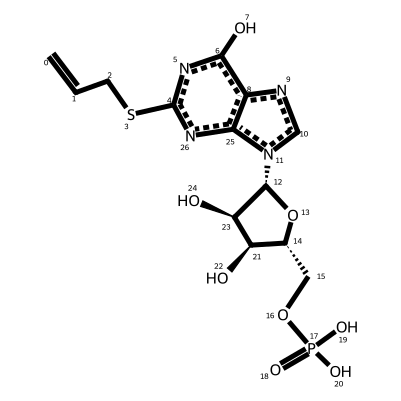 C=CCSc1nc(O)c2ncn([C@@H]3O[C@H](COP(=O)(O)O)[C@@H](O)[C@H]3O)c2n1